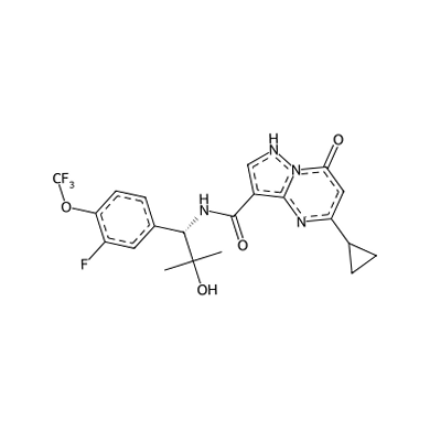 CC(C)(O)[C@@H](NC(=O)c1c[nH]n2c(=O)cc(C3CC3)nc12)c1ccc(OC(F)(F)F)c(F)c1